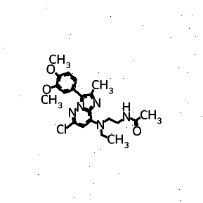 CCN(CCNC(C)=O)c1cc(Cl)nn2c(-c3ccc(OC)c(OC)c3)c(C)nc12